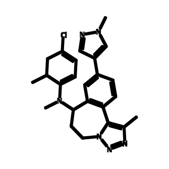 Cc1nnn2c1-c1ccc(-c3cnn(C)c3)cc1C(N(C)C1=CC=C(Cl)CC1C)CC2